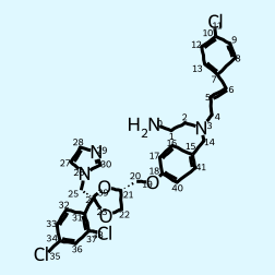 NCCN(C/C=C/c1ccc(Cl)cc1)Cc1ccc(OC[C@@H]2CO[C@@](Cn3ccnc3)(c3ccc(Cl)cc3Cl)O2)cc1